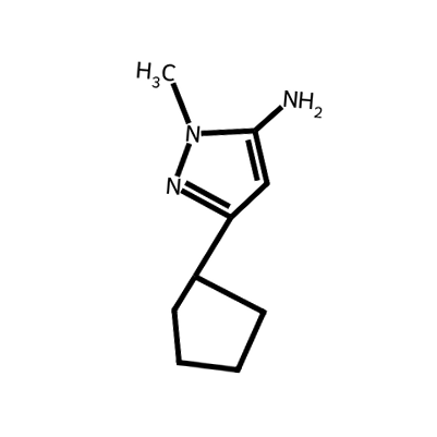 Cn1nc(C2CCCC2)cc1N